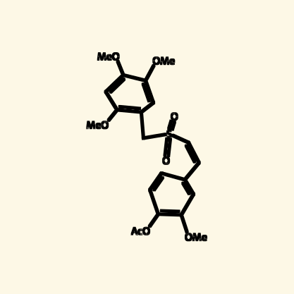 COc1cc(OC)c(OC)cc1CS(=O)(=O)/C=C\c1ccc(OC(C)=O)c(OC)c1